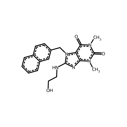 Cn1c(=O)c2c(nc(NCCO)n2Cc2ccc3ccccc3c2)n(C)c1=O